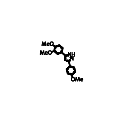 COc1ccc(-c2cc(-c3ccc(OC)c(OC)c3)[nH]n2)cc1